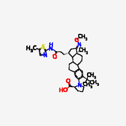 CO/N=C1\C[C@@H](CCC(=O)Nc2ncc(C)s2)C2C3CCc4cc(N5CCC[C@H]5C(=O)O)c(C(C)(C)C)cc4C3CC[C@]12C